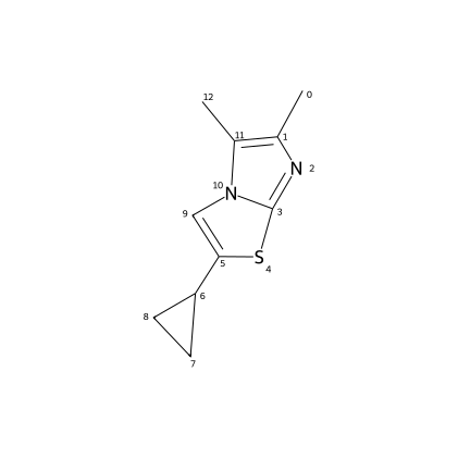 Cc1nc2sc(C3CC3)cn2c1C